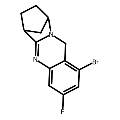 Fc1cc(Br)c2c(c1)N=C1C3CCC(C3)N1C2